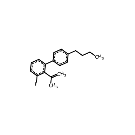 C=C(C)c1c(F)cccc1-c1ccc(CCCC)cc1